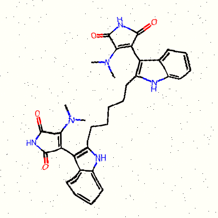 CN(C)C1=C(c2c(CCCCCc3[nH]c4ccccc4c3C3=C(N(C)C)C(=O)NC3=O)[nH]c3ccccc23)C(=O)NC1=O